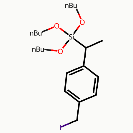 CCCCO[Si](OCCCC)(OCCCC)C(C)c1ccc(CI)cc1